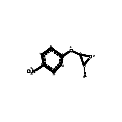 C[C@H]1OC1Oc1ccc([N+](=O)[O-])cc1